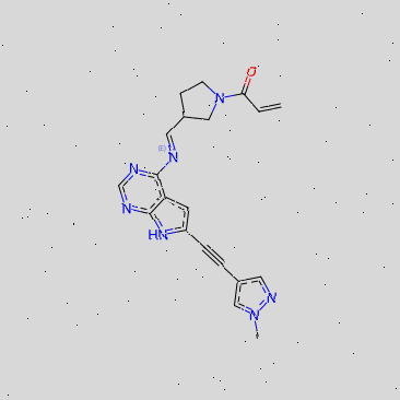 C=CC(=O)N1CCC(/C=N/c2ncnc3[nH]c(C#Cc4cnn(C)c4)cc23)C1